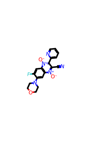 N#Cc1c(-c2ccccn2)[n+]([O-])c2cc(F)c(N3CCOCC3)cc2[n+]1[O-]